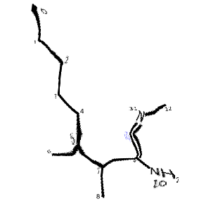 CCCCCC(C)C(C)/C(N)=N/C